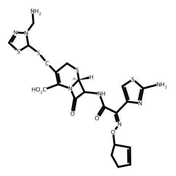 NCN1N=CSC1SCC1=C(C(=O)O)N2C(=O)C(NC(=O)/C(=N\OC3C=CCC3)c3csc(N)n3)[C@H]2SC1